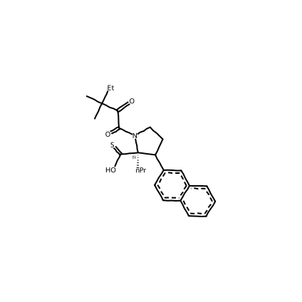 CCC[C@@]1(C(O)=S)C(c2ccc3ccccc3c2)CCN1C(=O)C(=O)C(C)(C)CC